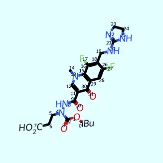 CCC(C)OC(=O)N(CCC(=O)O)NC(=O)c1cn(C)c2c(F)c(CNC3=NCCN3)c(F)cc2c1=O